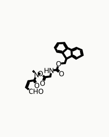 CN(OC(=O)CNC(=O)OCC1c2ccccc2-c2ccccc21)C(=O)/C=C\C=O